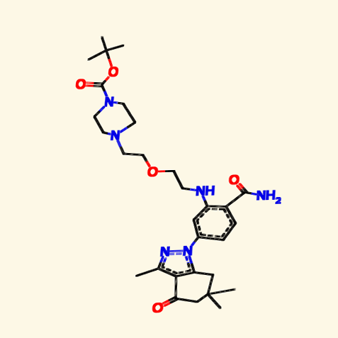 Cc1nn(-c2ccc(C(N)=O)c(NCCOCCN3CCN(C(=O)OC(C)(C)C)CC3)c2)c2c1C(=O)CC(C)(C)C2